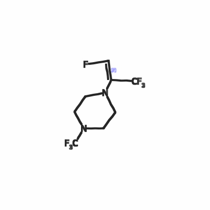 F/C=C(\N1CCN(C(F)(F)F)CC1)C(F)(F)F